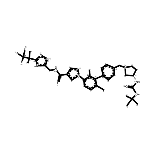 Cc1ccc(-n2cc(C(=O)NCc3nc(C(C)(C)C(F)(F)F)n[nH]3)cn2)c(C)c1-c1ccc(CN2CC[C@H](NC(=O)OC(C)(C)C)C2)cc1